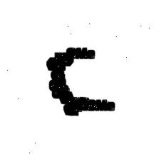 COc1ccc(Sc2c(F)cccc2C2CCN(OC(=O)C(=O)ON3CCC(c4cccc(F)c4Sc4ccc(OC)cc4)CC3)CC2)cc1